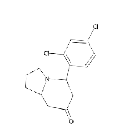 O=C1CC2CCCN2C(c2ccc(Cl)cc2Cl)C1